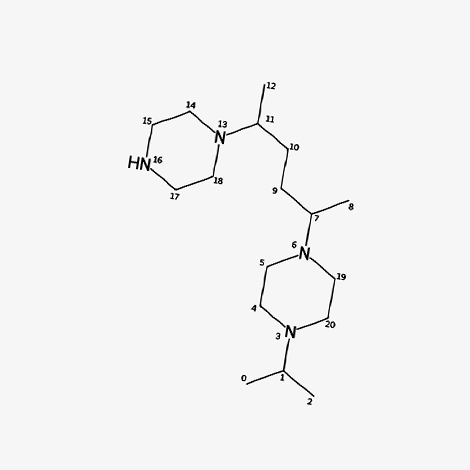 CC(C)N1CCN(C(C)CCC(C)N2CCNCC2)CC1